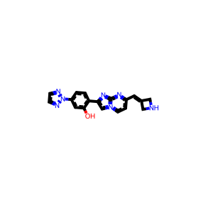 Oc1cc(-n2nccn2)ccc1-c1cn2ccc(C=C3CNC3)nc2n1